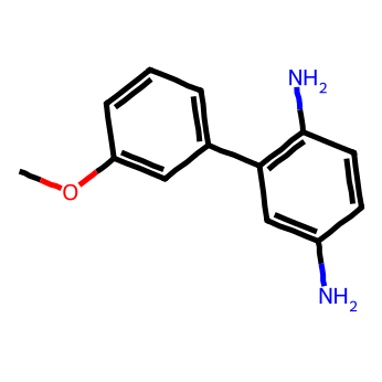 COc1cccc(-c2cc(N)ccc2N)c1